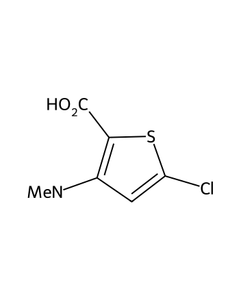 CNc1cc(Cl)sc1C(=O)O